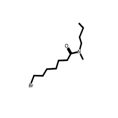 CCCCN(C)C(=O)CCCCCCBr